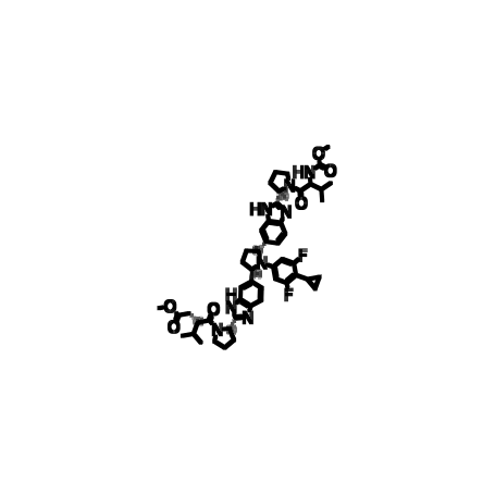 COC(=O)C[C@H](C(=O)N1CCC[C@H]1c1nc2ccc([C@H]3CC[C@H](c4ccc5nc([C@@H]6CCCN6C(=O)C(NC(=O)OC)C(C)C)[nH]c5c4)N3c3cc(F)c(C4CC4)c(F)c3)cc2[nH]1)C(C)C